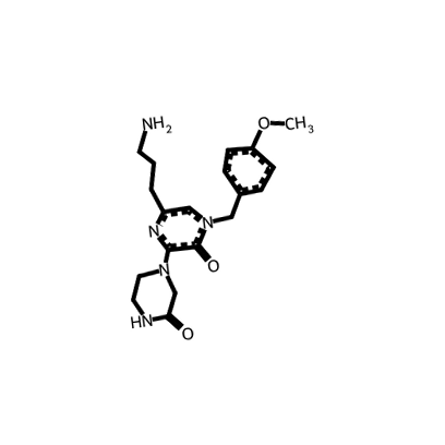 COc1ccc(Cn2cc(CCCN)nc(N3CCNC(=O)C3)c2=O)cc1